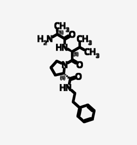 CC(C)[C@H](NC(=O)[C@H](C)N)C(=O)N1CCC[C@H]1C(=O)NCCc1ccccc1